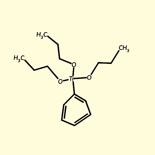 CCC[O][Ti]([O]CCC)([O]CCC)[c]1ccccc1